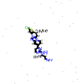 CN/C(=C\C=N)Nc1nccc(-c2ccn3c(CC(OC)c4ccc(Cl)s4)nnc3c2)n1